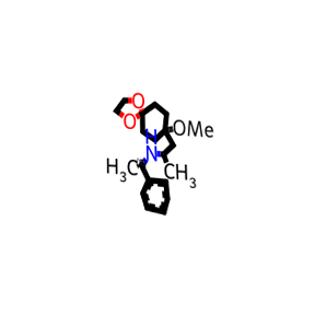 COC1(CC(C)N[C@@H](C)c2ccccc2)CCC2(CC1)OCCO2